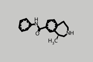 C[C@@H]1CNCCc2ccc(C(=O)Nc3ccccc3)cc21